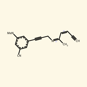 C#C/C=C\C(C)=N/CC#Cc1cc(C#N)cc(NC)c1